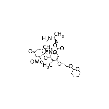 COC1=CC(=O)C[C@@H](C)[C@]1(C=O)Oc1c(C)c(OCCOC2CCCCO2)cc(C(=O)O/N=C(/C)N)c1Cl